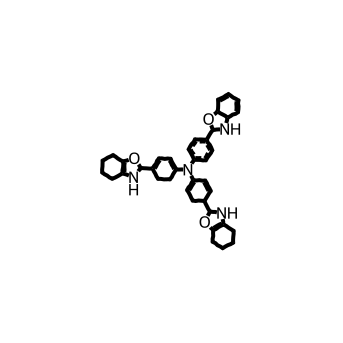 C1=CC2NC(c3ccc(N(C4=CCC(C5NC6=C(CCCC6)O5)C=C4)C4=CC=C(C5NC6=C(CCCC6)O5)CC4)cc3)OC2C=C1